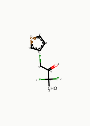 O=CC(F)(F)C(=O)CF.c1ccsc1